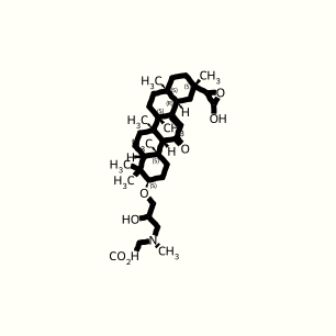 CN(CC(=O)O)CC(O)CO[C@H]1CC[C@]2(C)[C@H]3C(=O)C=C4[C@@H]5C[C@@](C)(C6OC6O)CC[C@]5(C)CC[C@@]4(C)[C@]3(C)CC[C@H]2C1(C)C